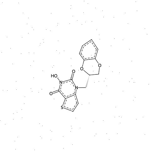 O=c1c2sccc2n(C[C@H]2COc3ccccc3O2)c(=O)n1O